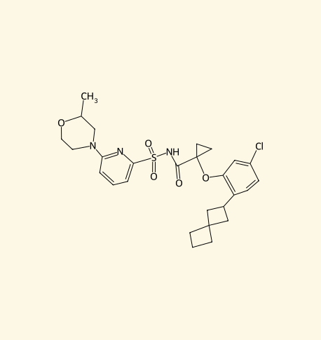 CC1CN(c2cccc(S(=O)(=O)NC(=O)C3(Oc4cc(Cl)ccc4C4CC5(CCC5)C4)CC3)n2)CCO1